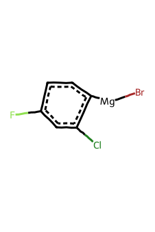 Fc1cc[c]([Mg][Br])c(Cl)c1